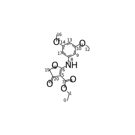 CCOC(=O)C1=C(Nc2cc(OC)cc(OC)c2)OCC1=O